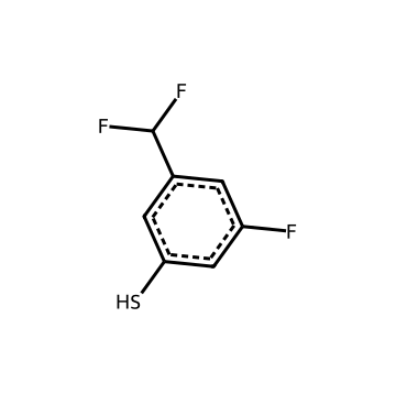 Fc1cc(S)cc(C(F)F)c1